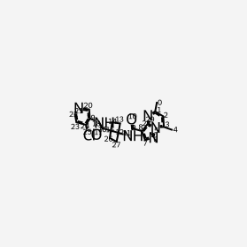 Cc1cc(C)n2ncc(C(=O)NC34CCC3(C(=O)Nc3cnccc3Cl)CC4)c2n1